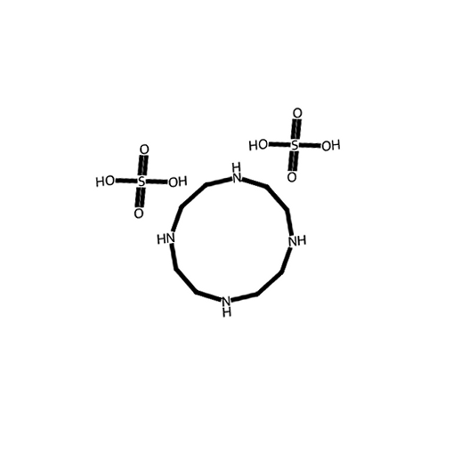 C1CNCCNCCNCCN1.O=S(=O)(O)O.O=S(=O)(O)O